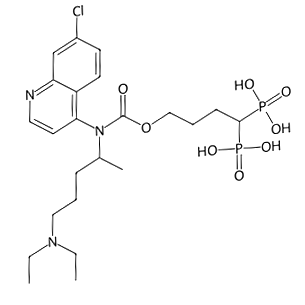 CCN(CC)CCCC(C)N(C(=O)OCCCC(P(=O)(O)O)P(=O)(O)O)c1ccnc2cc(Cl)ccc12